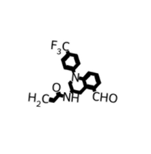 C=CC(=O)NC1Cc2c(C=O)cccc2N(c2ccc(C(F)(F)F)cc2)C1